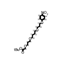 CC(C)(C)OC(=O)COCCCOCCCCOCCCOc1ccc([N+](=O)[O-])cc1